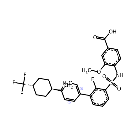 C=C(/C=C\C(=C/C)c1cccc(S(=O)(=O)Nc2ccc(C(=O)O)cc2OC)c1F)[C@H]1CC[C@H](C(F)(F)F)CC1